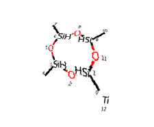 C[SiH]1O[SiH](C)O[SiH](C)O[SiH](C)O1.[Ti]